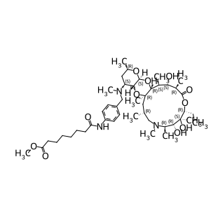 CC[C@H]1OC(=O)[C@H](C)[C@@H](O)[C@H](C)[C@H]2O[C@@H]3O[C@H](C)C[C@H](N(C)Cc4ccc(NC(=O)CCCCCCC(=O)OC)cc4)[C@H]3O[C@]2(C)C[C@@H](C)CN(C)[C@H](C)[C@@H](O)[C@]1(C)O